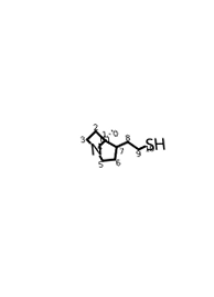 C[C@@]12CCN1CCC2CCS